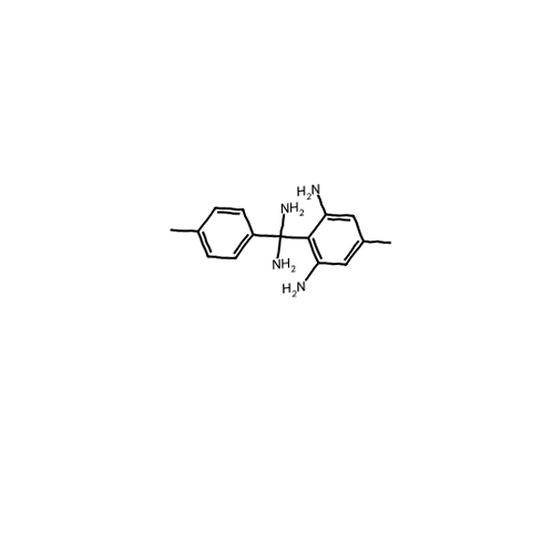 Cc1ccc(C(N)(N)c2c(N)cc(C)cc2N)cc1